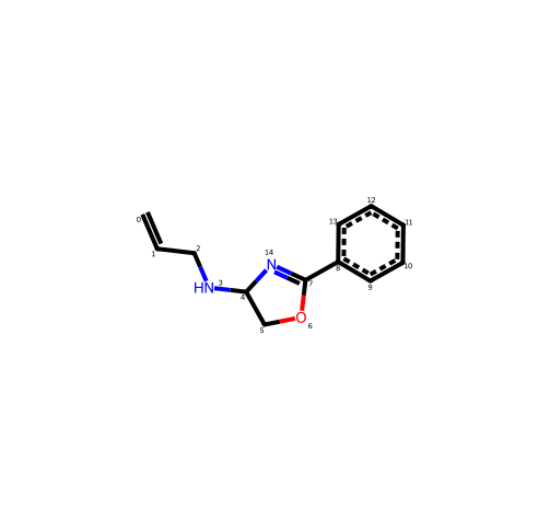 C=CCNC1COC(c2ccccc2)=N1